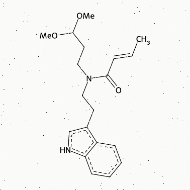 CC=CC(=O)N(CCc1c[nH]c2ccccc12)CCC(OC)OC